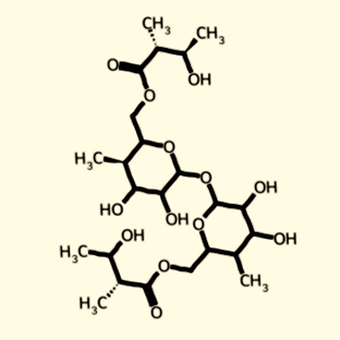 CC1C(COC(=O)[C@H](C)C(C)O)OC(OC2OC(COC(=O)[C@H](C)[C@@H](C)O)[C@H](C)C(O)C2O)C(O)C1O